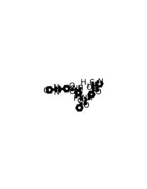 Cn1c2c(c(=O)n(-c3ccc(C[C@H](NC(=O)c4cc(F)c(NS(=O)(=O)C5C=CC(c6cnc(C7CCOCC7)nc6)=CC5)cc4F)C(=O)OC4CCCCC4)cc3)c1=O)CCN=C2